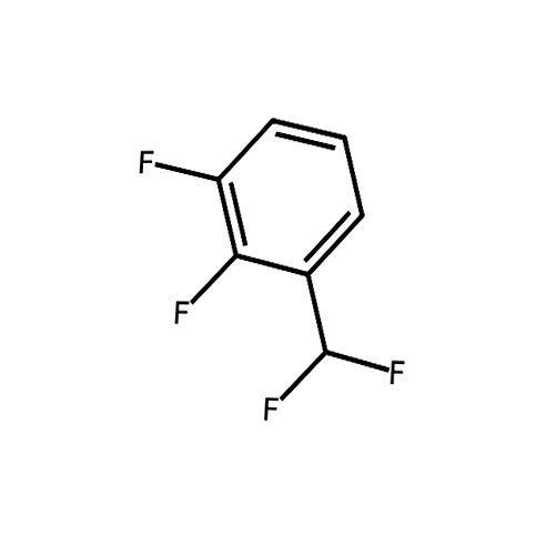 Fc1cccc(C(F)F)c1F